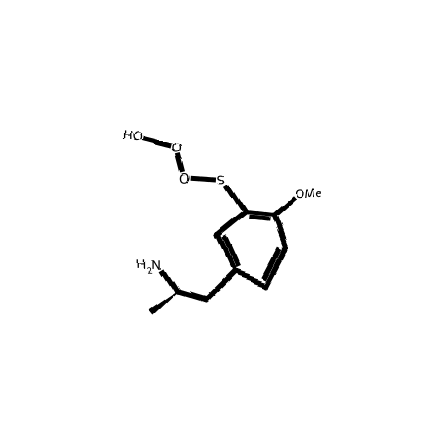 COc1ccc(C[C@@H](C)N)cc1SOOO